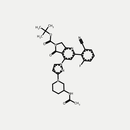 CC(=O)NC1CCCN(c2ccn(-c3cc(-c4c(F)cccc4C#N)nc4c3C(=O)N(C(=O)OC(C)(C)C)C4)n2)C1